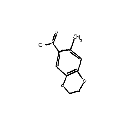 Cc1cc2c(cc1[N+](=O)[O-])OCCO2